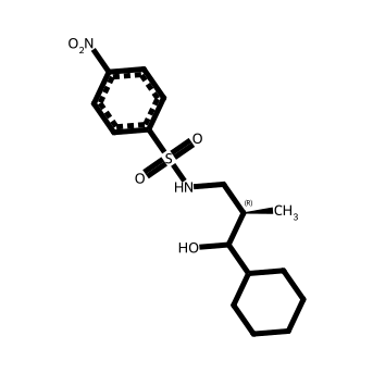 C[C@H](CNS(=O)(=O)c1ccc([N+](=O)[O-])cc1)C(O)C1CCCCC1